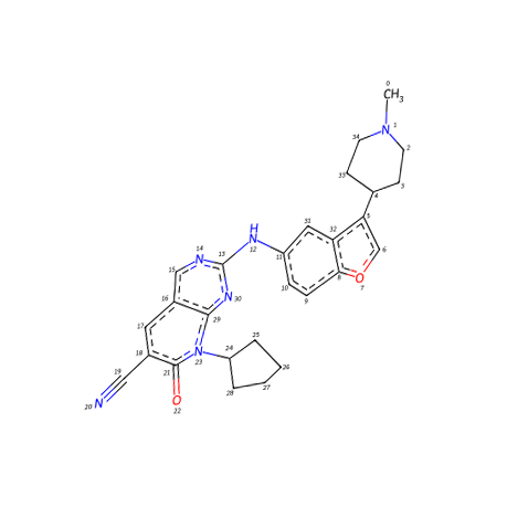 CN1CCC(c2coc3ccc(Nc4ncc5cc(C#N)c(=O)n(C6CCCC6)c5n4)cc23)CC1